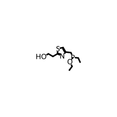 CCOP(CC)Cc1csc(CCO)n1